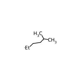 C[CH]CC[C](C)C